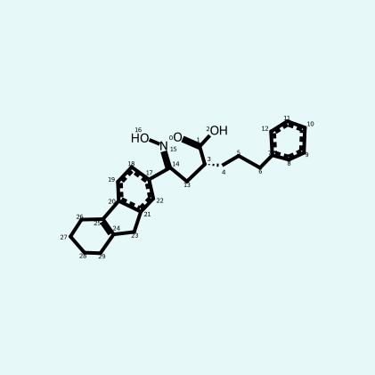 O=C(O)[C@H](CCCc1ccccc1)CC(=NO)c1ccc2c(c1)CC1=C2CCCC1